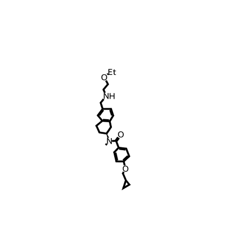 CCOCCNCc1ccc2c(c1)CC[C@H](N(C)C(=O)c1ccc(OCC3CC3)cc1)C2